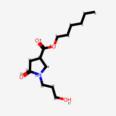 CCCCCCOC(=O)C1CC(=O)N(CCCO)C1